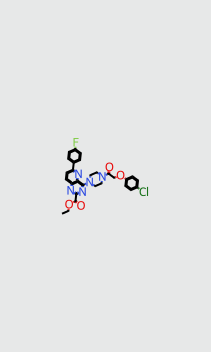 CCOC(=O)c1nc(N2CCN(C(=O)COc3ccc(Cl)cc3)CC2)c2nc(-c3ccc(F)cc3)ccc2n1